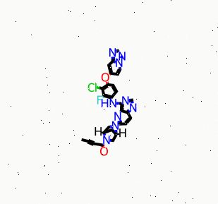 CC#CC(=O)N1C[C@@H]2C[C@H]1CN2c1ccc2ncnc(Nc3ccc(Oc4ccn5ncnc5c4)c(Cl)c3F)c2n1